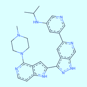 CC(C)Nc1cncc(-c2cc3c(-c4cc5c(N6CCN(C)CC6)nccc5[nH]4)n[nH]c3cn2)c1